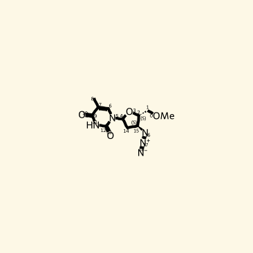 COC[C@H]1OC(n2cc(C)c(=O)[nH]c2=O)C[C@@H]1N=[N+]=[N-]